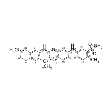 COc1cc2c(cc1Nc1ncc3ccc(Nc4ccc(C)c(S(N)(=O)=O)c4)cc3n1)CN(C)CC2